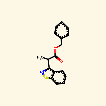 CC(C(=O)OCc1ccccc1)c1nsc2ccccc12